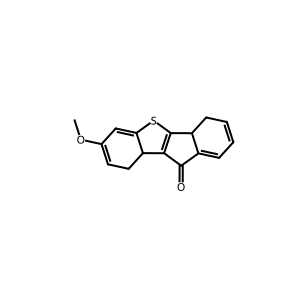 COC1=CCC2C(=C1)SC1=C2C(=O)C2=CC=CCC21